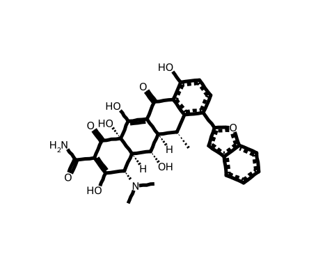 C[C@H]1c2c(-c3cc4ccccc4o3)ccc(O)c2C(=O)C2=C(O)[C@]3(O)C(=O)C(C(N)=O)=C(O)[C@@H](N(C)C)[C@@H]3[C@@H](O)[C@@H]21